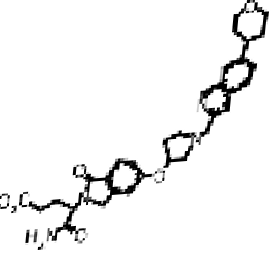 NC(=O)C(CCC(=O)O)N1Cc2cc(OC3CCN(Cc4cc5ccc(C6CCOCC6)cc5cn4)C3)ccc2C1=O